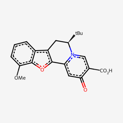 COc1cccc2c3c(oc12)-c1cc(=O)c(C(=O)O)cn1[C@H](C(C)(C)C)C3